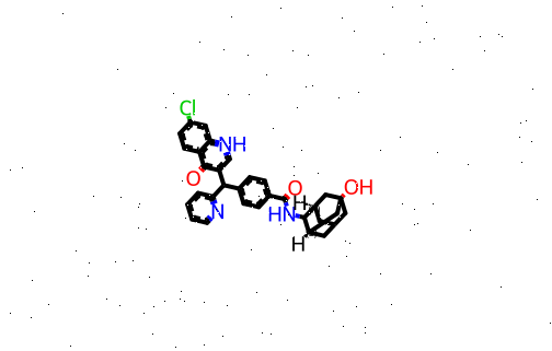 O=C(NC1[C@@H]2CC3C[C@H]1CC(O)(C3)C2)c1ccc(C(c2ccccn2)c2c[nH]c3cc(Cl)ccc3c2=O)cc1